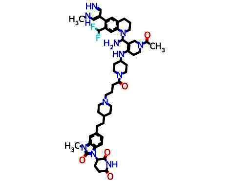 CN/C=C(\C=N)c1cc2c(cc1C(F)F)N(C(N)C1=C(NC3CCN(C(=O)CCCN4CCC(CCc5ccc6c(c5)n(C)c(=O)n6C5CCC(=O)NC5=O)CC4)CC3)CCN(C(C)=O)C1)CCC2